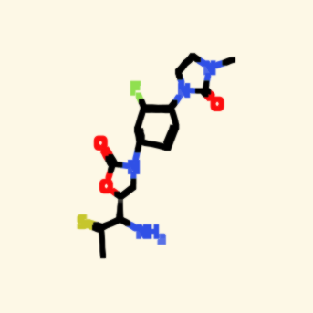 CC(=S)C(N)[C@@H]1CN(c2ccc(N3CCN(C)C3=O)c(F)c2)C(=O)O1